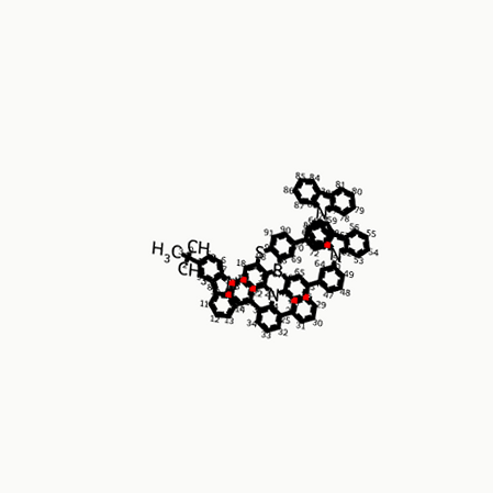 CC(C)(C)c1ccc2c(c1)c1ccccc1n2-c1cc2c3c(c1)N(c1c(-c4ccccc4)cccc1-c1ccccc1)c1ccc(-c4cccc(-n5c6ccccc6c6ccccc65)c4)cc1B3c1cc(-c3cccc(-n4c5ccccc5c5ccccc54)c3)ccc1S2